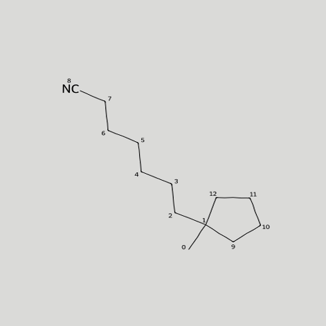 CC1(CCCCCCC#N)CCCC1